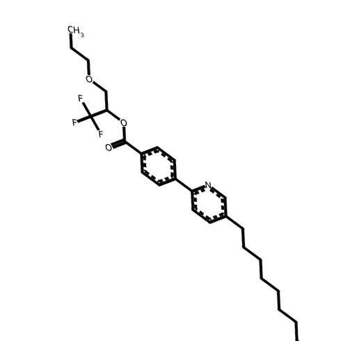 CCCCCCCCCc1ccc(-c2ccc(C(=O)OC(COCCC)C(F)(F)F)cc2)nc1